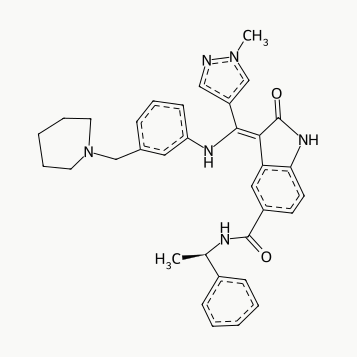 C[C@@H](NC(=O)c1ccc2c(c1)C(=C(Nc1cccc(CN3CCCCC3)c1)c1cnn(C)c1)C(=O)N2)c1ccccc1